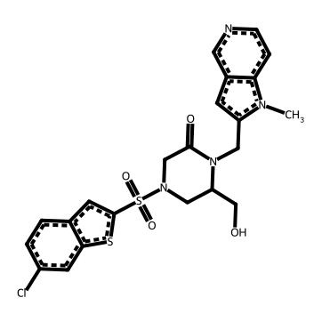 Cn1c(CN2C(=O)CN(S(=O)(=O)c3cc4ccc(Cl)cc4s3)CC2CO)cc2cnccc21